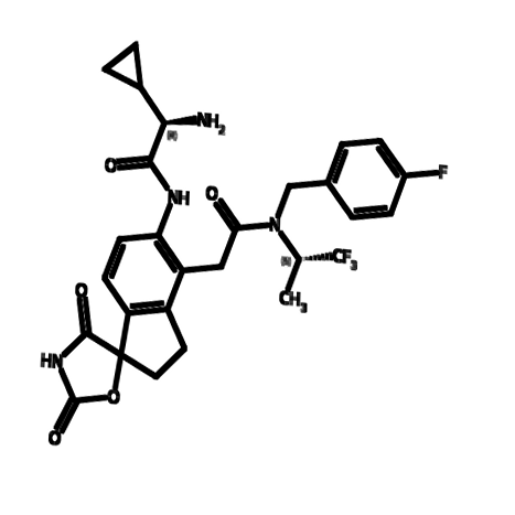 C[C@H](N(Cc1ccc(F)cc1)C(=O)Cc1c(NC(=O)[C@H](N)C2CC2)ccc2c1CCC21OC(=O)NC1=O)C(F)(F)F